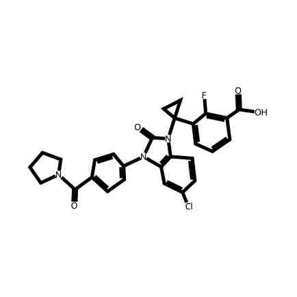 O=C(O)c1cccc(C2(n3c(=O)n(-c4ccc(C(=O)N5CCCC5)cc4)c4cc(Cl)ccc43)CC2)c1F